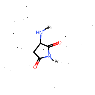 CC(C)NC1CC(=O)N(C(C)C)C1=O